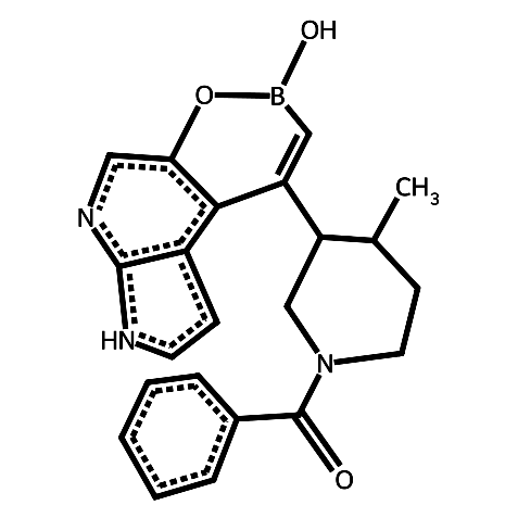 CC1CCN(C(=O)c2ccccc2)CC1C1=CB(O)Oc2cnc3[nH]ccc3c21